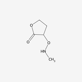 CNOC1CCOC1=O